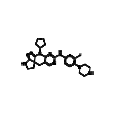 O=C1NCCC12Cc1cnc(Nc3ccc(N4CCNCC4)c(F)c3)nc1N(C1CCCC1)C2=O